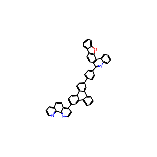 c1cnc2c(c1)ccc1c(-c3ccc4c5ccc(-c6ccc(-c7nc8ccccc8c8c7ccc7c9ccccc9oc78)cc6)cc5c5ccccc5c4c3)ccnc12